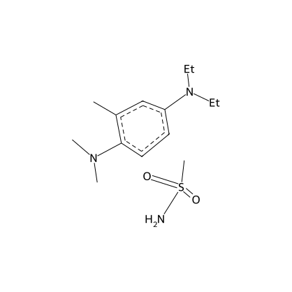 CCN(CC)c1ccc(N(C)C)c(C)c1.CS(N)(=O)=O